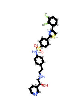 O=S(=O)(Nc1ccc(CCNCC(O)c2cccnc2)cc1)c1ccc(-c2nc(-c3cccc(F)c3F)cs2)cc1